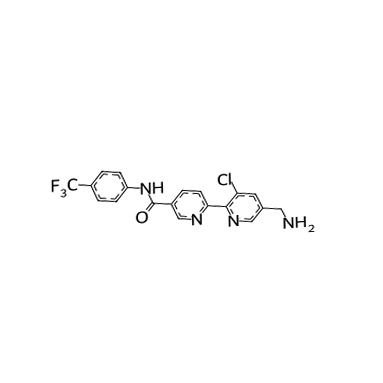 NCc1cnc(-c2ccc(C(=O)Nc3ccc(C(F)(F)F)cc3)cn2)c(Cl)c1